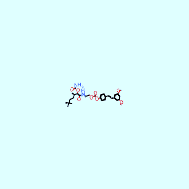 COc1cc(C=Cc2ccc(OC(=O)OCCNC(=O)C(OC(N)=O)C(C)CCC(C)(C)C)cc2)cc(OC)c1